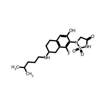 CC(C)CCCNC1CCc2cc(O)c(N3CC(=O)NS3(=O)=O)c(F)c2C1